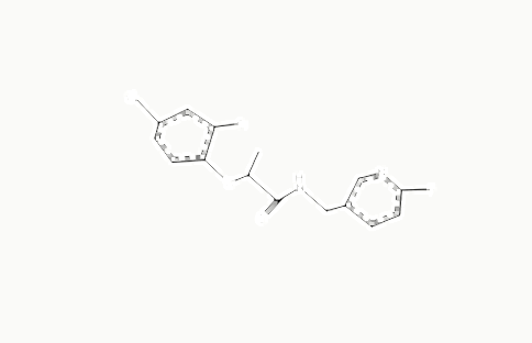 CC(Oc1ccc(Cl)cc1Cl)C(=O)NCc1ccc(F)nc1